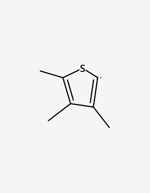 Cc1[c]sc(C)c1C